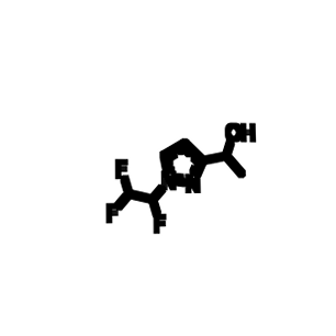 CC(O)c1ccn(C(F)C(F)F)n1